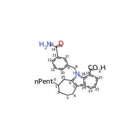 CCCCCC1CCCc2c(n(Cc3cccc(C(N)=O)c3)c3c(C(=O)O)cccc23)C1